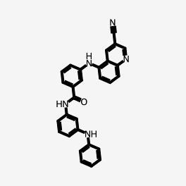 N#Cc1cnc2cccc(Nc3cccc(C(=O)Nc4cccc(Nc5ccccc5)c4)c3)c2c1